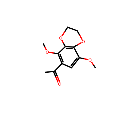 COc1cc(C(C)=O)c(OC)c2c1OCCO2